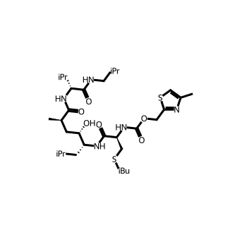 CCC(C)SC[C@H](NC(=O)OCc1nc(C)cs1)C(=O)N[C@H](CC(C)C)[C@@H](O)C[C@@H](C)C(=O)N[C@@H](C(=O)NCC(C)C)C(C)C